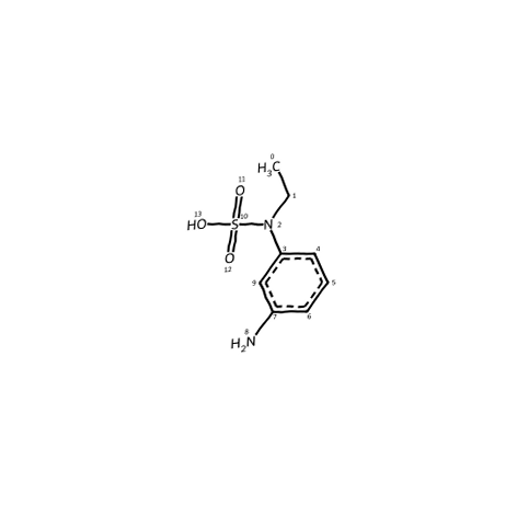 CCN(c1cccc(N)c1)S(=O)(=O)O